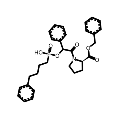 O=C(OCc1ccccc1)[C@H]1CCCN1C(=O)C(OP(=O)(O)CCCCc1ccccc1)c1ccccc1